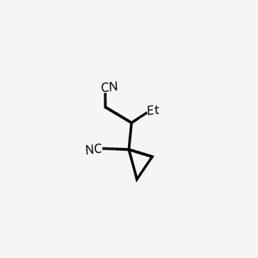 CCC(CC#N)C1(C#N)CC1